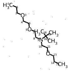 CCCOCCOCCN(CCOCCC)C(C)(C)C